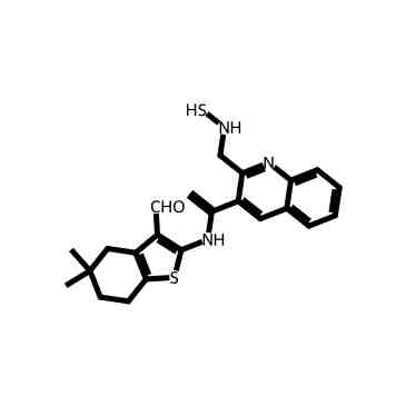 C=C(Nc1sc2c(c1C=O)CC(C)(C)CC2)c1cc2ccccc2nc1CNS